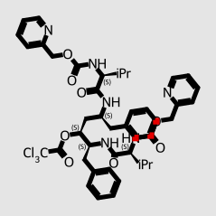 CC(C)[C@H](NC(=O)OCc1ccccn1)C(=O)N[C@@H](Cc1ccccc1)C[C@H](OC(=O)C(Cl)(Cl)Cl)[C@H](Cc1ccccc1)NC(=O)[C@@H](NC(=O)OCc1ccccn1)C(C)C